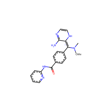 CON(C)/C(=C1\NC=CN=C1N)c1ccc(C(=O)Nc2ccccn2)cc1